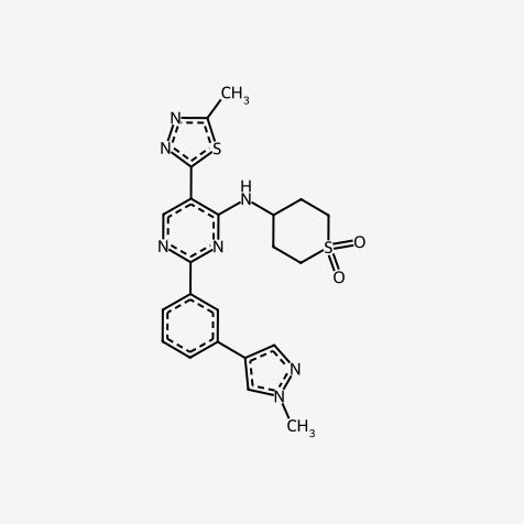 Cc1nnc(-c2cnc(-c3cccc(-c4cnn(C)c4)c3)nc2NC2CCS(=O)(=O)CC2)s1